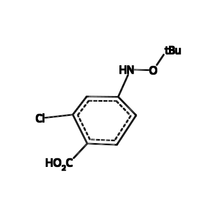 CC(C)(C)ONc1ccc(C(=O)O)c(Cl)c1